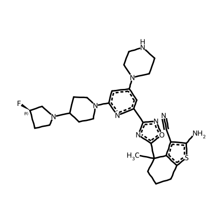 CC1(c2nc(-c3cc(N4CCNCC4)cc(N4CCC(N5CC[C@@H](F)C5)CC4)n3)no2)CCCc2sc(N)c(C#N)c21